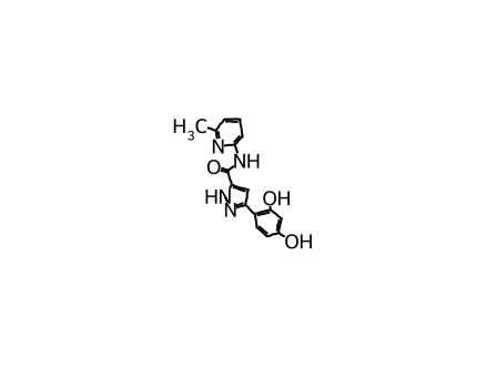 Cc1cccc(NC(=O)c2cc(-c3ccc(O)cc3O)n[nH]2)n1